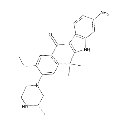 CCc1cc2c(cc1N1CCN[C@@H](C)C1)C(C)(C)c1[nH]c3cc(N)ccc3c1C2=O